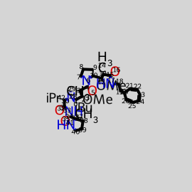 CC[C@H](C)[C@@H]([C@@H](CC(=O)N1CCC[C@H]1[C@H](OC)[C@@H](C)C(=O)NCCC1C=CC=CC=C1)OC)N(C)[C@H](C(=O)NC(=O)[C@]1(C)CCCN1)C(C)C